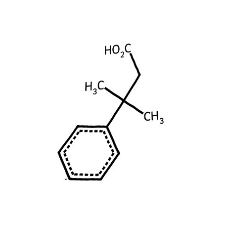 CC(C)(CC(=O)O)c1cc[c]cc1